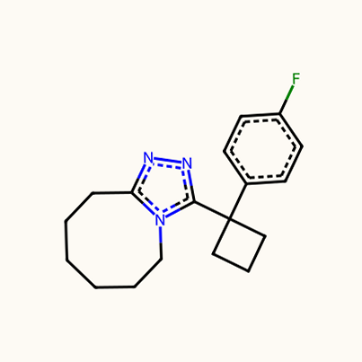 Fc1ccc(C2(c3nnc4n3CCCCCC4)CCC2)cc1